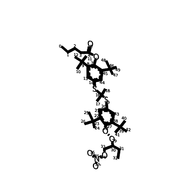 CCCCC(=O)Oc1c(C(C)(C)C)cc(SC(C)(C)Sc2cc(C(C)(C)C)c(OOC(CC)CO[N+](=O)[O-])c(C(C)(C)C)c2)cc1C(C)(C)C